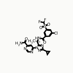 C[C@H](NC(=O)c1cc(Cl)cc(S(=O)(=O)C(F)F)c1)c1nc(C2CC2)nn1-c1cc(C(N)=O)ncn1